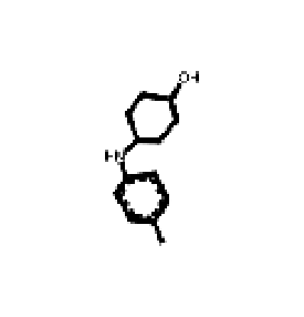 Cc1ccc(NC2CCC(O)CC2)cc1